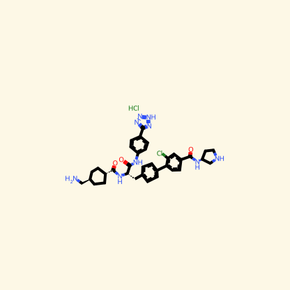 Cl.NC[C@H]1CC[C@H](C(=O)N[C@@H](Cc2ccc(-c3ccc(C(=O)N[C@H]4CCNC4)cc3Cl)cc2)C(=O)Nc2ccc(-c3nn[nH]n3)cc2)CC1